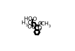 COC(=O)C(Cc1ccccc1)CC(C)(C(C)=O)C(=O)O